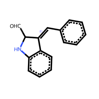 O=CC1Nc2ccccc2/C1=C\c1ccccc1